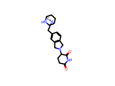 O=C1CCC(N2Cc3ccc(CN4CC5CCC4CN5)cc3C2)C(=O)N1